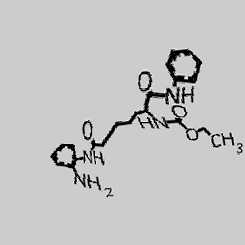 CCOC(=O)NC(CCCCC(=O)Nc1ccccc1N)C(=O)Nc1ccccc1